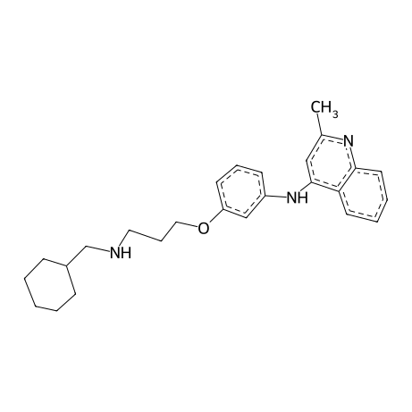 Cc1cc(Nc2cccc(OCCCNCC3CCCCC3)c2)c2ccccc2n1